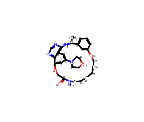 C[C@@H]1Nc2ncnc3c(cc(N4CCOCC4)cc23)OCC(=O)NCCCCCCOc2cccc1c2